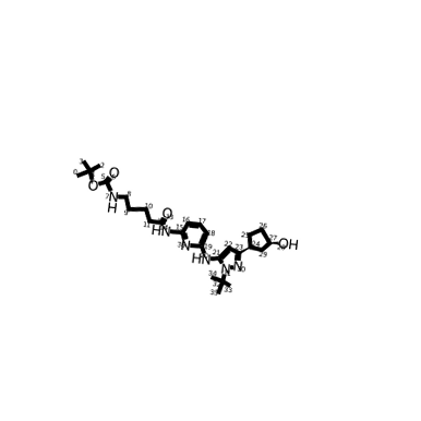 CC(C)(C)OC(=O)NCCCCC(=O)Nc1cccc(Nc2cc([C@H]3CC[C@@H](O)C3)nn2C(C)(C)C)n1